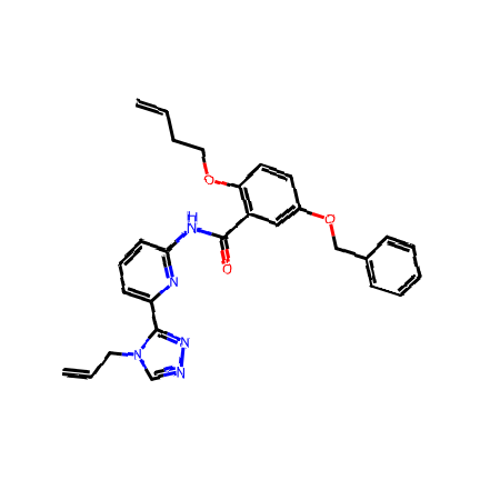 C=CCCOc1ccc(OCc2ccccc2)cc1C(=O)Nc1cccc(-c2nncn2CC=C)n1